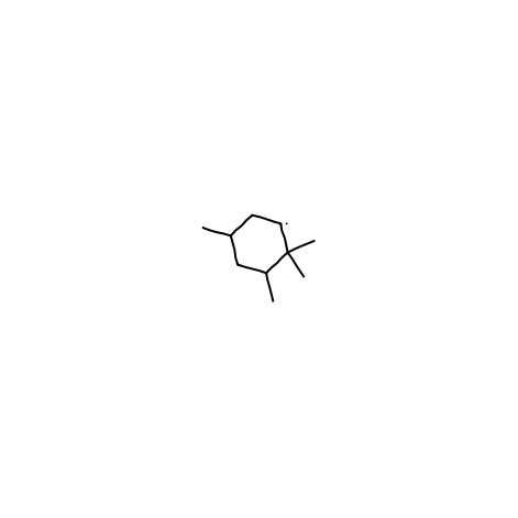 CC1C[CH]C(C)(C)C(C)C1